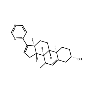 CC1C=C2C[C@@H](O)CC[C@]2(C)[C@H]2CC[C@]3(C)C(c4ccncn4)=CC[C@H]3[C@H]12